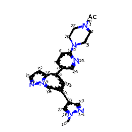 CC(=O)N1CCN(c2ccc(-c3cc(-c4cnn(C)c4)cn4nccc34)cn2)CC1